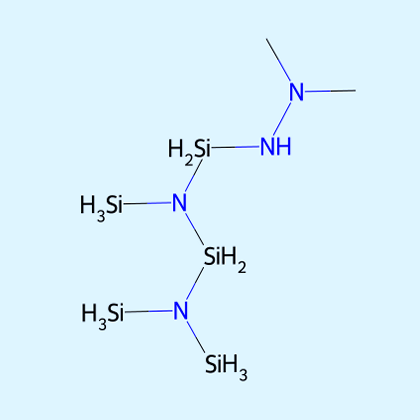 CN(C)N[SiH2]N([SiH3])[SiH2]N([SiH3])[SiH3]